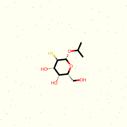 CC(C)O[C@@H]1O[C@H](CO)[C@H](O)[C@H](O)[C@H]1S